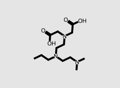 CCCN(CCN(C)C)CCN(CC(=O)O)CC(=O)O